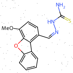 COc1ccc(/C=N\NC(N)=S)c2c1oc1ccccc12